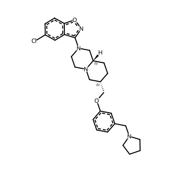 Clc1ccc2onc(N3CCN4C[C@@H](COc5cccc(CN6CCCC6)c5)CC[C@H]4C3)c2c1